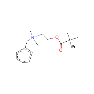 CC(C)C(C)(C)C(=O)OCC[N+](C)(C)Cc1ccccc1